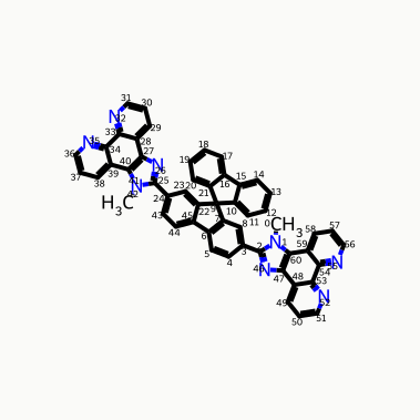 Cn1c(-c2ccc3c(c2)C2(c4ccccc4-c4ccccc42)c2cc(-c4nc5c6cccnc6c6ncccc6c5n4C)ccc2-3)nc2c3cccnc3c3ncccc3c21